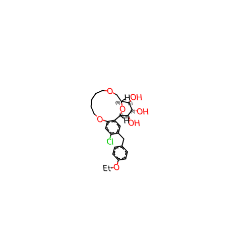 CCOc1ccc(Cc2cc3c(cc2Cl)OCCCCCOC[C@H]2O[C@@H]3[C@H](O)[C@@H](O)[C@@H]2O)cc1